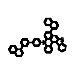 c1cc(-c2ccc(N(c3ccc(-c4cccc5ccccc45)cc3)c3ccccc3-c3cccc4sc5ccccc5c34)cc2)cc(-c2cccc3ccccc23)c1